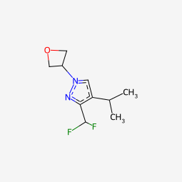 CC(C)c1cn(C2COC2)nc1C(F)F